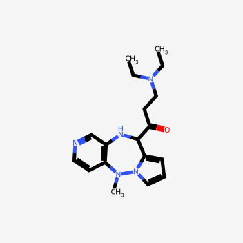 CCN(CC)CCC(=O)C1Nc2cnccc2N(C)n2cccc21